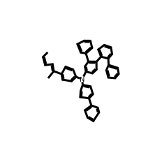 C/C=C\C=C(/C)c1ccc(N(c2ccc(-c3ccccc3)cc2)c2ccc(-c3ccccc3-c3ccccc3)c(-c3ccccc3)c2)cc1